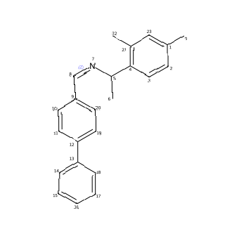 Cc1ccc(C(C)/N=C\c2ccc(-c3ccccc3)cc2)c(C)c1